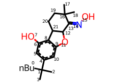 CCCCC(C)(C)c1cc(O)c2c(c1)OC1C(=NO)C(C)(C)CCC21